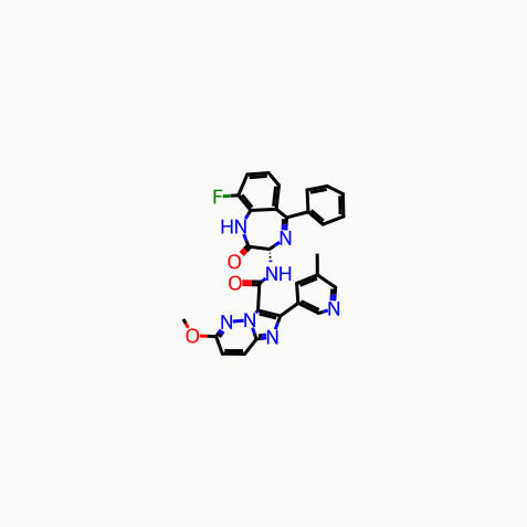 COc1ccc2nc(-c3cncc(C)c3)c(C(=O)N[C@H]3N=C(c4ccccc4)c4cccc(F)c4NC3=O)n2n1